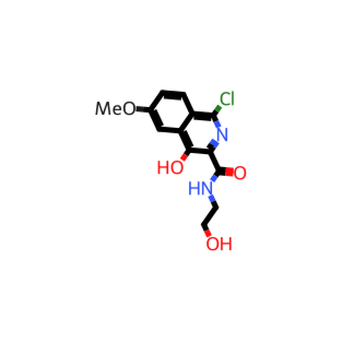 COc1ccc2c(Cl)nc(C(=O)NCCO)c(O)c2c1